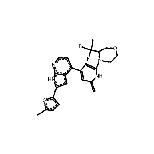 C=C1C=C(c2ccnc3[nH]c(-c4ccc(C)s4)cc23)C=C(N2CCOCC2C(F)(F)F)N1